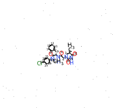 Cc1cn(CC(=O)N[C@@H](Cc2ccccc2)C(=O)N(C)c2ccc(Cl)cc2)c(=O)[nH]c1=O